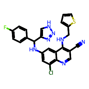 N#Cc1cnc2c(Cl)cc(NC(c3ccc(F)cc3)c3c[nH]nn3)cc2c1NCc1cccs1